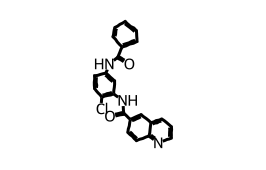 O=C(Nc1ccc(Cl)c(NC(=O)c2ccc3ncccc3c2)c1)c1ccccc1